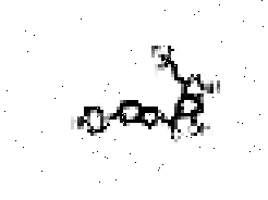 O=C(c1cc2c(CCC(F)(F)F)n[nH]c2cc1O)N1Cc2ccc(N3CCNCC3)cc2C1